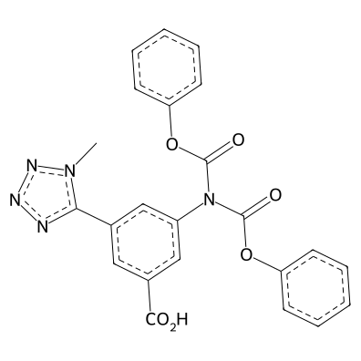 Cn1nnnc1-c1cc(C(=O)O)cc(N(C(=O)Oc2ccccc2)C(=O)Oc2ccccc2)c1